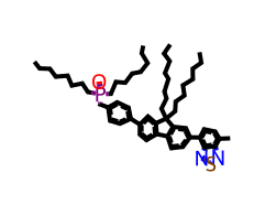 CCCCCCCCC1(CCCCCCCC)c2cc(-c3ccc(CP(=O)(CCCCCCCC)CCCCCCCC)cc3)ccc2-c2ccc(-c3ccc(C)c4nsnc34)cc21